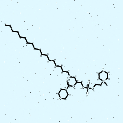 CCCCCCCCCCCCCCCCCCOCC(COP(=O)([O-])OCC[N+]1(C)CCOCC1)OC(=O)N1CCOCC1